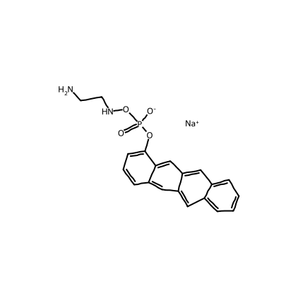 NCCNOP(=O)([O-])Oc1cccc2cc3cc4ccccc4cc3cc12.[Na+]